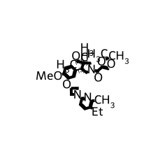 CCc1ccc(N2CC(Oc3cc([C@@H]4CN(C(=O)C5=COC(C)(C)O5)C[C@@]4(C)[C@@H](C)O)ccc3OC)C2)nc1C